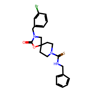 O=C1OC2(CCN(C(=S)NCc3ccccc3)CC2)CN1Cc1cccc(Br)c1